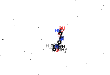 CC(C)c1cccc(O[C@H](C)c2nnc([C@H]3CC[C@H](n4cc([C@@H]5CC[C@@H](NC(=O)O)CO5)nn4)CC3)n2C)c1